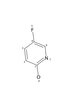 [O]c1ccc(F)cn1